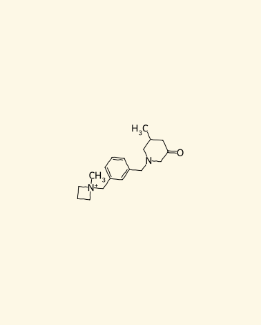 CC1CC(=O)CN(Cc2cccc(C[N+]3(C)CCC3)c2)C1